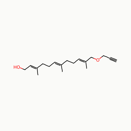 C#CCOC/C(C)=C/CC/C(C)=C/CC/C(C)=C/CO